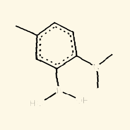 Cc1ccc(N(C)C)c(B(O)O)c1